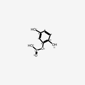 O=[P](O)Oc1cc(O)ccc1O